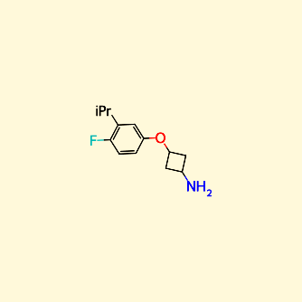 CC(C)c1cc(OC2CC(N)C2)ccc1F